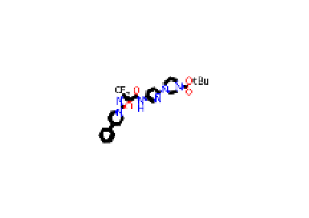 CC(C)(C)OC(=O)N1CCCN(c2ccc(NC(=O)c3oc(N4CCC(c5ccccc5)CC4)nc3C(F)(F)F)cn2)CC1